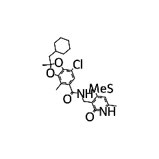 CSc1cc(C)[nH]c(=O)c1CNC(=O)c1cc(Cl)c2c(c1C)O[C@](C)(CC1CCCCC1)O2